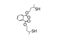 CC(S)CCOC(=O)c1ccccc1C(=O)OCCC(C)S